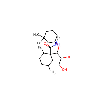 CCNC(=O)C1(C(OC2CCCC(C)(C(C)C)C2)C(O)CO)CC(C)CCC1C(C)C